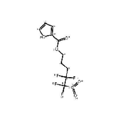 O=C(OCCCC(F)(F)C(F)(F)[SH](=O)=O)c1ccco1